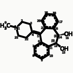 CN1CCC(=C2c3ccccc3[C@H](O)[C@@H](O)c3ccccc32)CC1